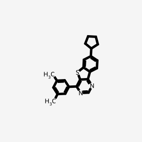 Cc1cc(C)cc(-c2ncnc3c2sc2cc(C4CCCC4)ccc23)c1